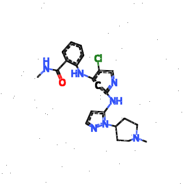 CNC(=O)c1ccccc1Nc1cc(Nc2ccnn2C2CCN(C)CC2)ncc1Cl